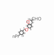 CCCc1ccc(COc2ccc3c(c2)OCC(C=O)=C3)cc1